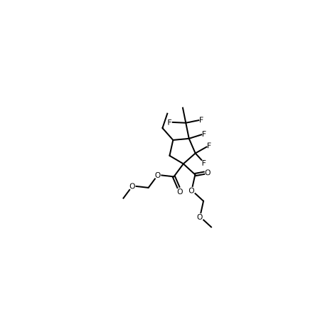 CCC1CC(C(=O)OCOC)(C(=O)OCOC)C(F)(F)C1(F)C(C)(F)F